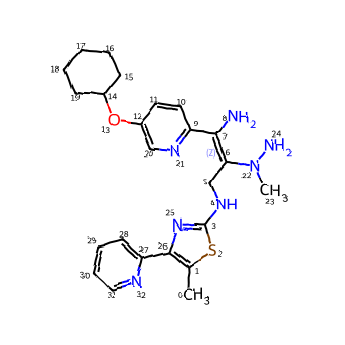 Cc1sc(NC/C(=C(/N)c2ccc(OC3CCCCC3)cn2)N(C)N)nc1-c1ccccn1